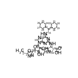 CCc1nnc([C@H]2O[C@@H](n3cnc4c(NCC(c5ccccc5)c5ccccc5)nc(NC5CCNC5)nc43)[C@H](O)[C@@H]2O)o1.O=CO